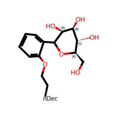 CCCCCCCCCCCCOc1ccccc1[C]1O[C@H](CO)[C@@H](O)[C@H](O)[C@@H]1O